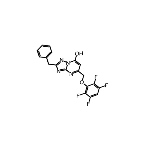 Oc1cc(COc2c(F)c(F)cc(F)c2F)nc2nc(Cc3ccccc3)nn12